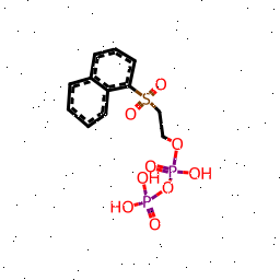 O=P(O)(O)OP(=O)(O)OCCS(=O)(=O)c1cccc2ccccc12